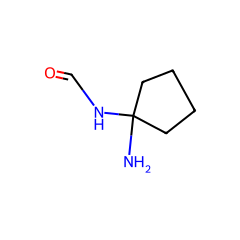 NC1(NC=O)CCCC1